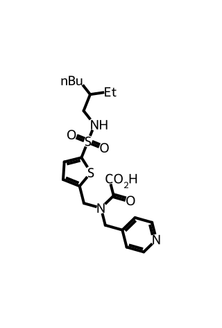 CCCCC(CC)CNS(=O)(=O)c1ccc(CN(Cc2ccncc2)C(=O)C(=O)O)s1